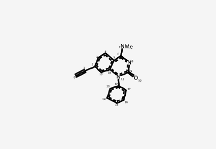 C#Cc1ccc2c(NC)nc(=O)n(-c3ccccc3)c2c1